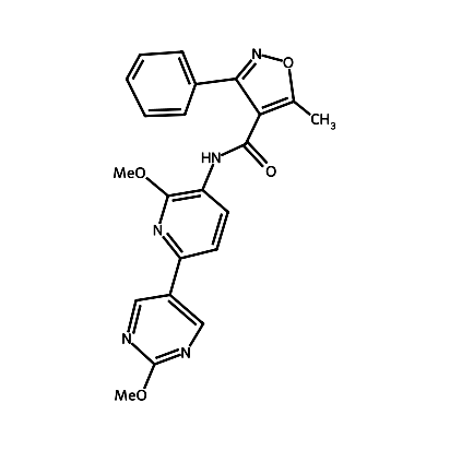 COc1ncc(-c2ccc(NC(=O)c3c(-c4ccccc4)noc3C)c(OC)n2)cn1